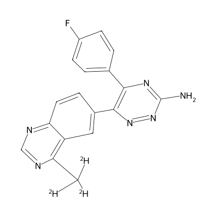 [2H]C([2H])([2H])c1ncnc2ccc(-c3nnc(N)nc3-c3ccc(F)cc3)cc12